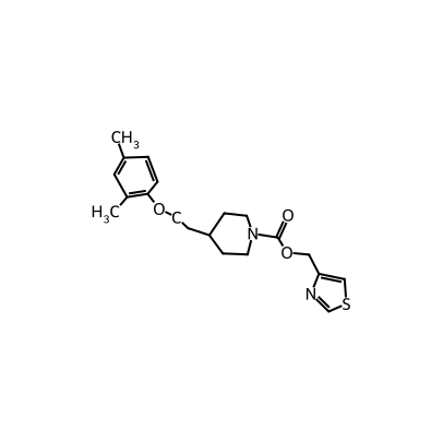 Cc1ccc(OCCC2CCN(C(=O)OCc3cscn3)CC2)c(C)c1